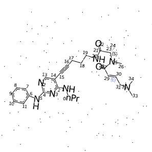 CCCNc1nc(Nc2ccccc2)ncc1C#CCCCNC(=O)[C@H](C)N(C)C(=O)/C=C/CN(C)C